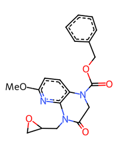 COc1ccc2c(n1)N(CC1CO1)C(=O)CN2C(=O)OCc1ccccc1